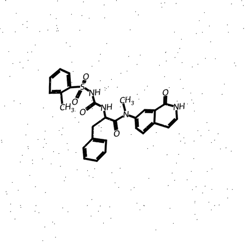 Cc1ccccc1S(=O)(=O)NC(=O)NC(Cc1ccccc1)C(=O)N(C)c1ccc2cc[nH]c(=O)c2c1